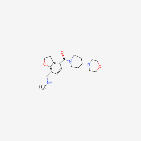 CNCc1ccc(C(=O)N2CCC(N3CCOCC3)CC2)c2c1OCC2